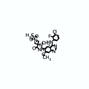 COc1cc2ncnc(Nc3cccc(Cl)c3F)c2cc1CN(C)C1(C(N)=O)CN(S(C)(=O)=O)C1